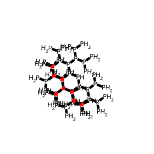 PP(P)P(P(P)P)P(P(P)P)P(PP(P(P(P(P)P)P(P)P)P(P(P)P)P(P)P)P(P(P(P)P)P(P)P)P(P(P)P)P(P)P)P(P(P(P)P)P(P)P)P(P(P)P)P(P)P